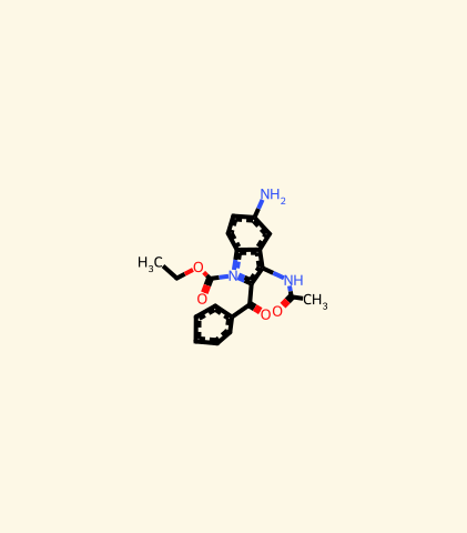 CCOC(=O)n1c(C(=O)c2ccccc2)c(NC(C)=O)c2cc(N)ccc21